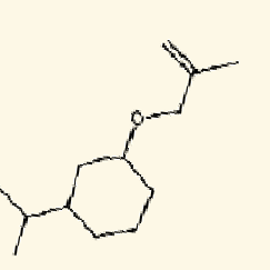 C=C(C)COC1CCCC(C(C)C)C1